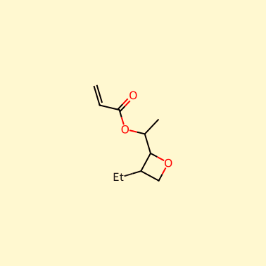 C=CC(=O)OC(C)C1OCC1CC